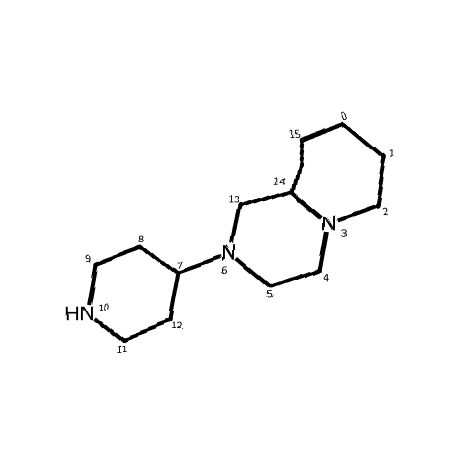 C1CCN2CCN(C3CCNCC3)CC2C1